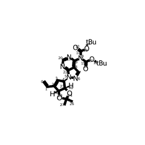 C=CC1=C[C@@H](n2ncc3c(N(C(=O)OC(C)(C)C)C(=O)OC(C)(C)C)ncnc32)[C@@H]2OC(C)(C)O[C@H]12